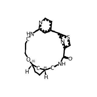 O=C1NC[C@@H]2CC[C@@H](C2)OCCCNc2cc(ccn2)-c2nc1cs2